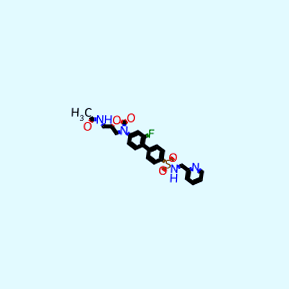 CC(=O)NCC1CN(c2ccc(-c3ccc(S(=O)(=O)NCc4ccccn4)cc3)c(F)c2)C(=O)O1